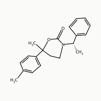 Cc1ccc(C2(C)CCN([C@@H](C)c3ccccc3)C(=O)O2)cc1